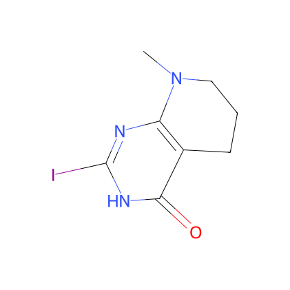 CN1CCCc2c1nc(I)[nH]c2=O